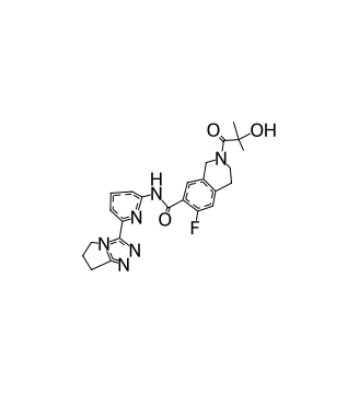 CC(C)(O)C(=O)N1CCc2cc(F)c(C(=O)Nc3cccc(-c4nnc5n4CCC5)n3)cc2C1